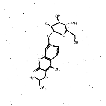 CC(C)Oc1c(O)c2ccc(O[C@H]3O[C@H](CO)[C@@H](O)[C@H](O)[C@@H]3O)cc2oc1=O